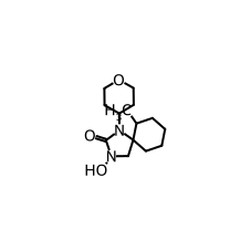 CC1CCCCC12CN(O)C(=O)N2C1CCOCC1